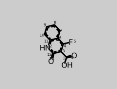 O=C(O)c1c(F)c2ccccc2[nH]c1=O